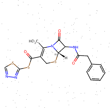 O=C(Cc1ccccc1)NC1C(=O)N2C(C(=O)O)=C(C(=O)Sc3nncs3)CS[C@@H]12